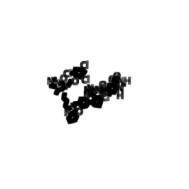 CCCCC1=NC2(CCCC2)C(=O)N1Cc1ccc(-c2ccccc2-c2nnn[nH]2)cc1.CCCN(CCOc1c(Cl)cc(Cl)cc1Cl)C(=O)n1ccnc1.NS(=O)(=O)c1cc2c(cc1Cl)NCNS2(=O)=O